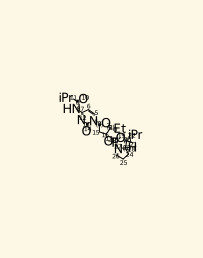 CC[C@H]1O[C@@H](n2ccc(NC(=O)C(C)C)nc2=O)CC1O[P@@]1O[C@](C)(C(C)C)[C@@H]2CCCN21